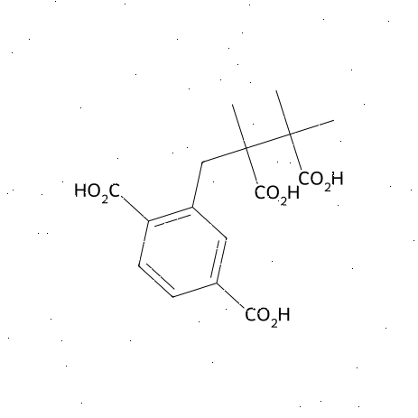 CC(C)(C(=O)O)C(C)(Cc1cc(C(=O)O)ccc1C(=O)O)C(=O)O